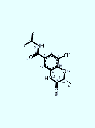 CC(C)NC(=O)c1cc(Cl)c2c(c1)NC(=O)[C@@H](C)O2